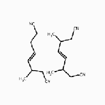 CC(C=CC(C)CC#N)CC#N.CC(C=CCCC#N)CC#N